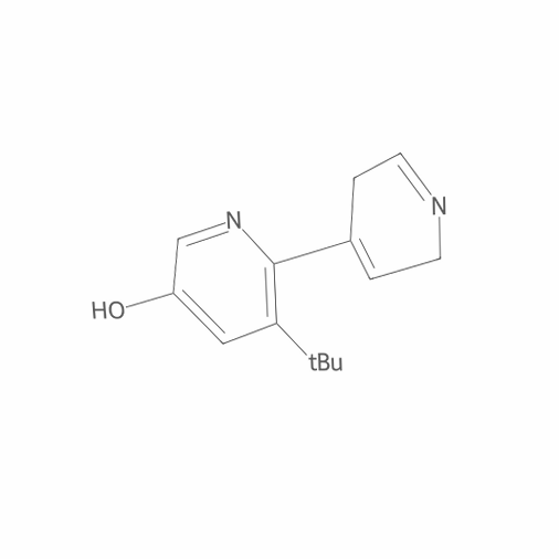 CC(C)(C)c1cc(O)cnc1C1=CCN=CC1